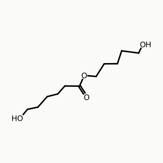 O=C(CCCCCO)OCCCCCO